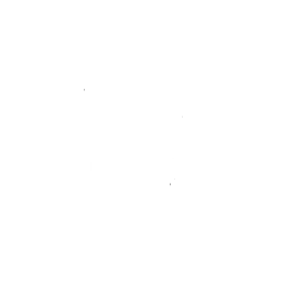 CCc1sc2scc(C)c2c1C